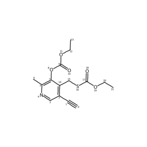 C#Cc1cnc(C)c(OC(=O)OCC)c1CSC(=O)OCC